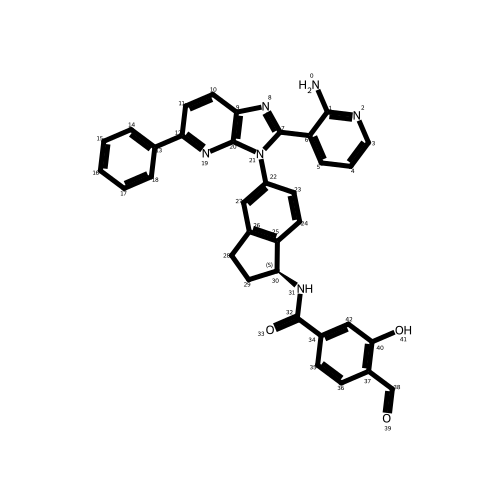 Nc1ncccc1-c1nc2ccc(-c3ccccc3)nc2n1-c1ccc2c(c1)CC[C@@H]2NC(=O)c1ccc(C=O)c(O)c1